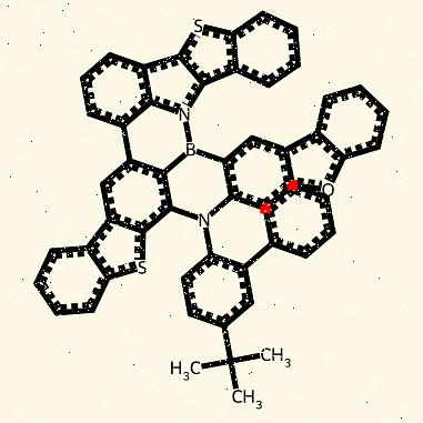 CC(C)(C)c1ccc(N2c3cc4oc5ccccc5c4cc3B3c4c(cc5c(sc6ccccc65)c42)-c2cccc4c5sc6ccccc6c5n3c24)c(-c2ccccc2)c1